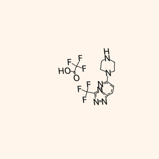 FC(F)(F)c1nnc2ccc(N3CCNCC3)nn12.O=C(O)C(F)(F)F